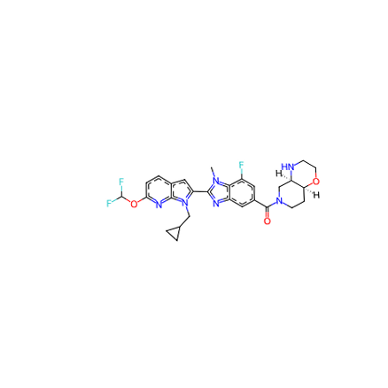 Cn1c(-c2cc3ccc(OC(F)F)nc3n2CC2CC2)nc2cc(C(=O)N3CC[C@@H]4OCCN[C@@H]4C3)cc(F)c21